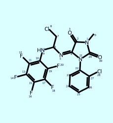 CN1C(=O)C(=NC(CCl)Nc2c(F)c(F)c(F)c(F)c2F)N(c2ccccc2Cl)C1=O